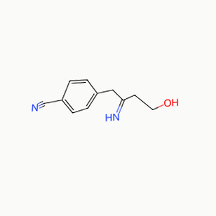 N#Cc1ccc(CC(=N)CCO)cc1